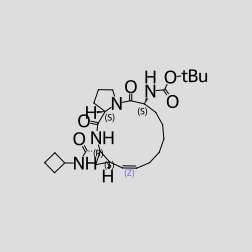 CC(C)(C)OC(=O)N[C@H]1CCCCC/C=C\[C@@H]2C[C@@]2(C(=O)NC2CCC2)NC(=O)[C@@H]2CCCN2C1=O